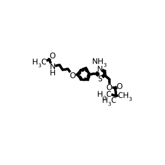 CC(=O)NCCCOc1ccc(-c2ncc(COC(=O)C(C)(C)C)s2)cc1.N